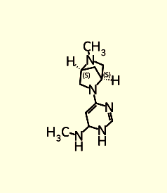 CNC1C=C(N2C[C@@H]3C[C@H]2CN3C)N=CN1